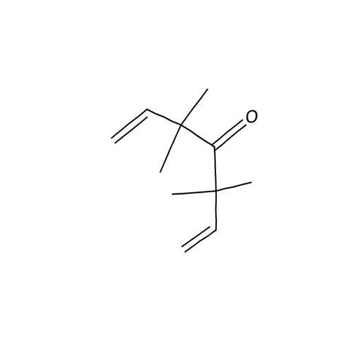 C=CC(C)(C)C(=O)C(C)(C)C=C